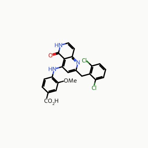 COc1cc(C(=O)O)ccc1Nc1cc(Cc2c(Cl)cccc2Cl)nc2cc[nH]c(=O)c12